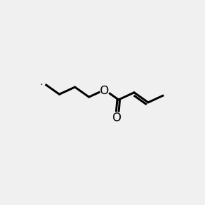 [CH2]CCCOC(=O)/C=C/C